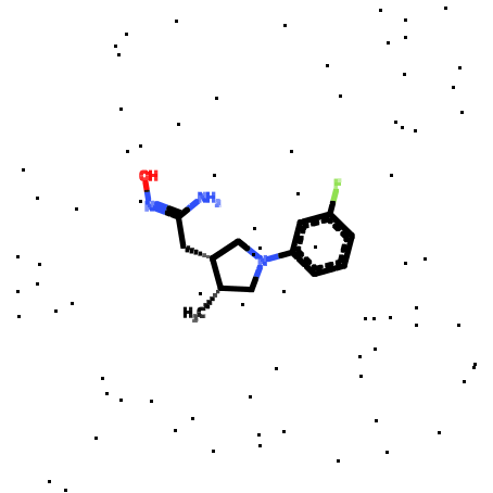 C[C@H]1CN(c2cccc(F)c2)C[C@H]1C/C(N)=N/O